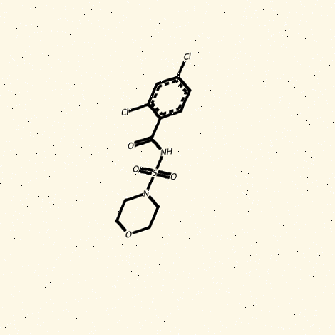 O=C(NS(=O)(=O)N1CCOCC1)c1ccc(Cl)cc1Cl